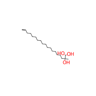 C=CCCCCCCCCCCCCCCCC(C)(O)C(O)O